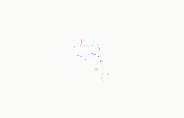 Nc1nc2c(ncn2[C@@H]2O[C@H](CO)[C@@H](O)[C@]2(F)Cl)c(=O)[nH]1